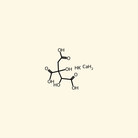 O=C(O)CC(O)(C(=O)O)C(O)C(=O)O.[CaH2].[KH]